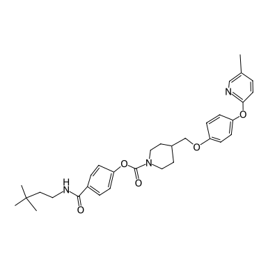 Cc1ccc(Oc2ccc(OCC3CCN(C(=O)Oc4ccc(C(=O)NCCC(C)(C)C)cc4)CC3)cc2)nc1